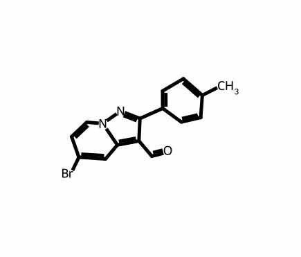 Cc1ccc(-c2nn3ccc(Br)cc3c2C=O)cc1